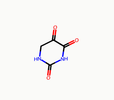 O=C1NCC(=O)C(=O)N1